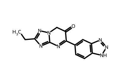 CCc1nc2n(n1)CC(=O)C(c1ccc3[nH]nnc3c1)=N2